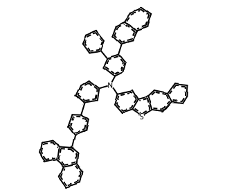 c1ccc(-c2cc(N(c3cccc(-c4ccc(-c5cc6ccccc6c6ccccc56)cc4)c3)c3ccc4sc5cc6ccccc6cc5c4c3)ccc2-c2ccc3ccccc3c2)cc1